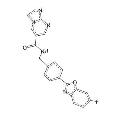 O=C(NCc1ccc(-c2nc3ccc(F)cc3o2)cc1)c1cnc2nccn2c1